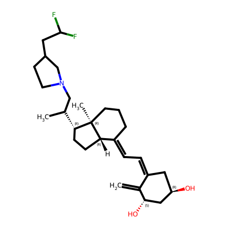 C=C1C(=CC=C2CCC[C@]3(C)[C@@H](C(C)CN4CCC(CC(F)F)C4)CC[C@@H]23)C[C@@H](O)C[C@@H]1O